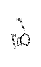 CCCO.N=C=O.N=C=O.c1ccccc1